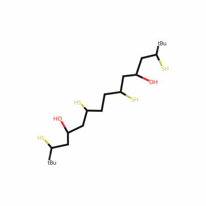 CC(C)(C)C(S)CC(O)CC(S)CCC(S)CC(O)CC(S)C(C)(C)C